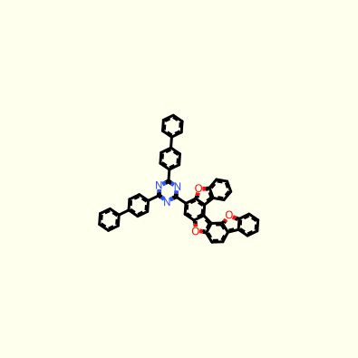 c1ccc(-c2ccc(-c3nc(-c4ccc(-c5ccccc5)cc4)nc(-c4cc5oc6ccc7c8ccccc8oc7c6c5c5c4oc4ccccc45)n3)cc2)cc1